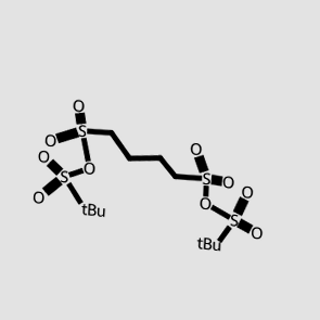 CC(C)(C)S(=O)(=O)OS(=O)(=O)CCCCS(=O)(=O)OS(=O)(=O)C(C)(C)C